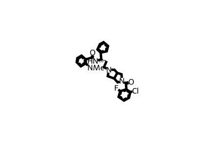 CNc1ccccc1C(=O)N[C@@H](CCN1CC2CN(C(=O)c3c(F)cccc3Cl)CC2C1)c1ccccc1